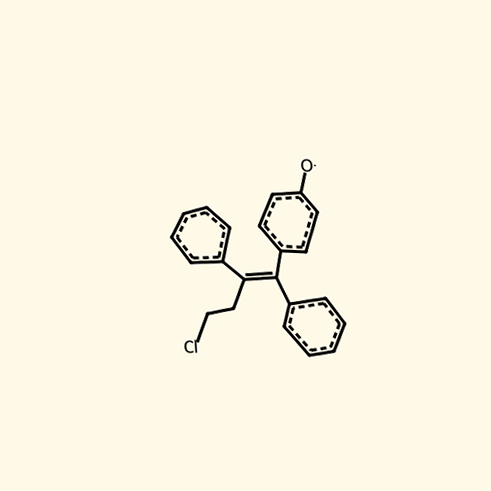 [O]c1ccc(/C(=C(/CCCl)c2ccccc2)c2ccccc2)cc1